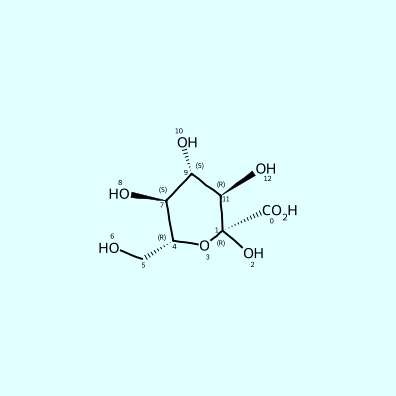 O=C(O)[C@]1(O)O[C@H](CO)[C@@H](O)[C@H](O)[C@H]1O